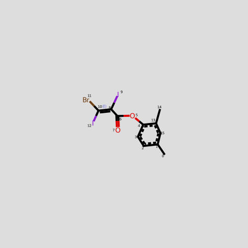 Cc1ccc(OC(=O)/C(I)=C(/Br)I)c(C)c1